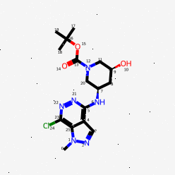 Cn1ncc2c(N[C@@H]3C[C@H](O)CN(C(=O)OC(C)(C)C)C3)nnc(Cl)c21